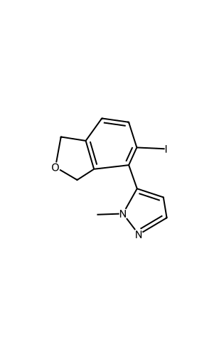 Cn1nccc1-c1c(I)ccc2c1COC2